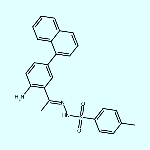 CC(=NNS(=O)(=O)c1ccc(C)cc1)c1cc(-c2cccc3ccccc23)ccc1N